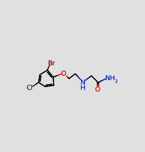 NC(=O)CNCCOc1ccc(Cl)cc1Br